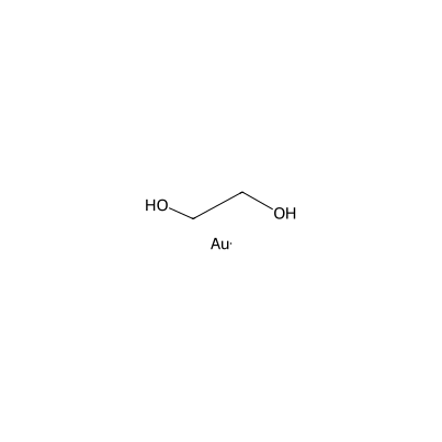 OCCO.[Au]